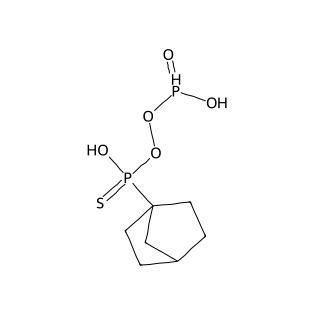 O=[PH](O)OOP(O)(=S)C12CCC(CC1)C2